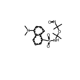 CN(C)c1cccc2c(S(=O)(=O)NC(C)(C)OC(C)(C)N=O)cccc12